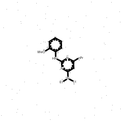 CCCc1cc(N(CC)CC)nc(Nc2ccccc2OC)n1